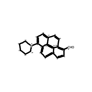 O=Cc1ccc2ccc3c(N4CCCCC4)ccc4ccc1c2c43